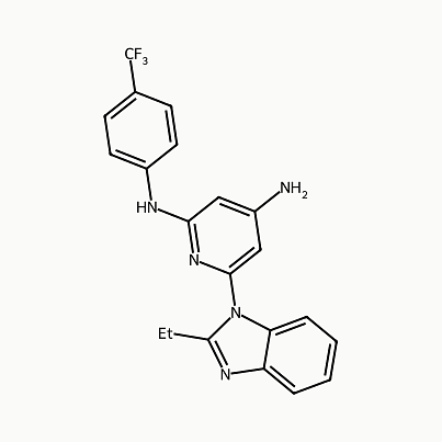 CCc1nc2ccccc2n1-c1cc(N)cc(Nc2ccc(C(F)(F)F)cc2)n1